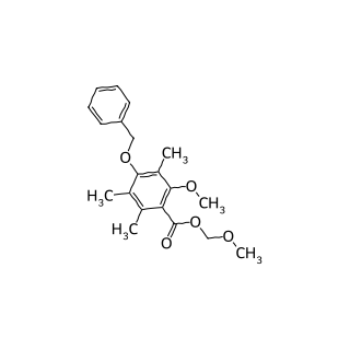 COCOC(=O)c1c(C)c(C)c(OCc2ccccc2)c(C)c1OC